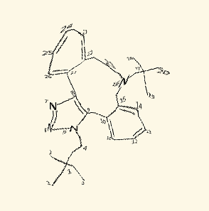 CC(C)(C)Cn1nnc2c1-c1ccccc1N(C(C)(C)C)Cc1ccccc1-2